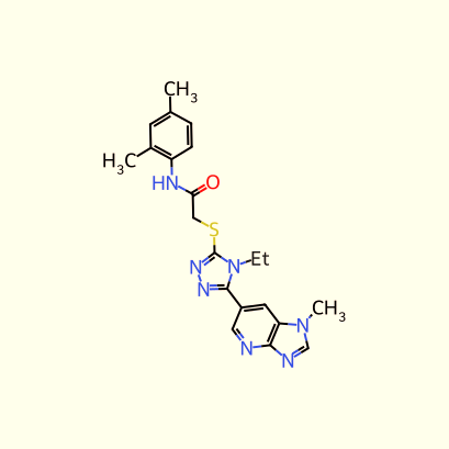 CCn1c(SCC(=O)Nc2ccc(C)cc2C)nnc1-c1cnc2ncn(C)c2c1